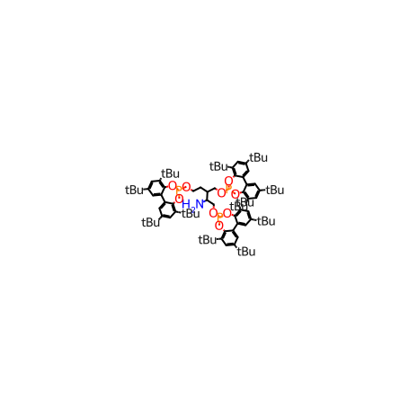 CC(C)(C)c1cc(C(C)(C)C)c2op(OCCC(COp3oc4c(C(C)(C)C)cc(C(C)(C)C)cc4c4cc(C(C)(C)C)cc(C(C)(C)C)c4o3)C(N)COp3oc4c(C(C)(C)C)cc(C(C)(C)C)cc4c4cc(C(C)(C)C)cc(C(C)(C)C)c4o3)oc3c(C(C)(C)C)cc(C(C)(C)C)cc3c2c1